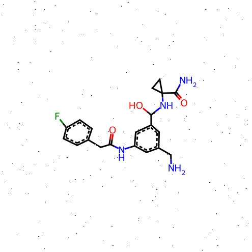 NCc1cc(NC(=O)Cc2ccc(F)cc2)cc(C(O)NC2(C(N)=O)CC2)c1